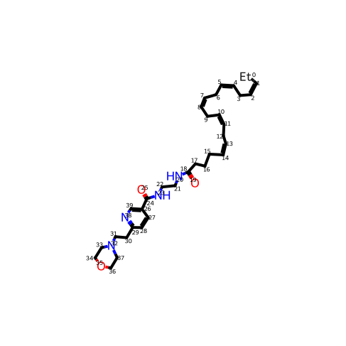 CC/C=C\C/C=C\C/C=C\C/C=C\C/C=C\CCCC(=O)NCCNC(=O)c1ccc(CCN2CCOCC2)nc1